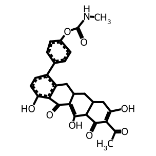 CNC(=O)Oc1ccc(-c2ccc(O)c3c2CC2CC4CC(O)=C(C(C)=O)C(=O)C4C(O)=C2C3=O)cc1